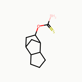 BC(=S)OC1CC2CC1C1CCCC21